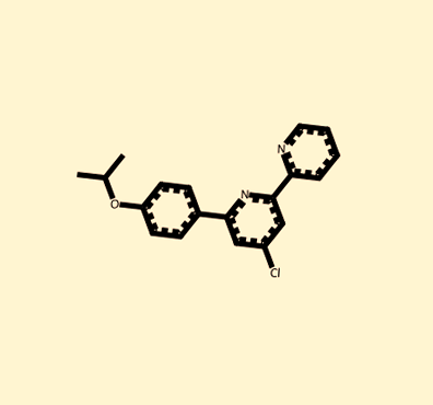 CC(C)Oc1ccc(-c2cc(Cl)cc(-c3ccccn3)n2)cc1